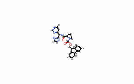 Cc1cc(C(NC(=O)C2CCCN2C(=O)OCC2c3ccccc3-c3ccccc32)c2ncc[nH]2)ncn1